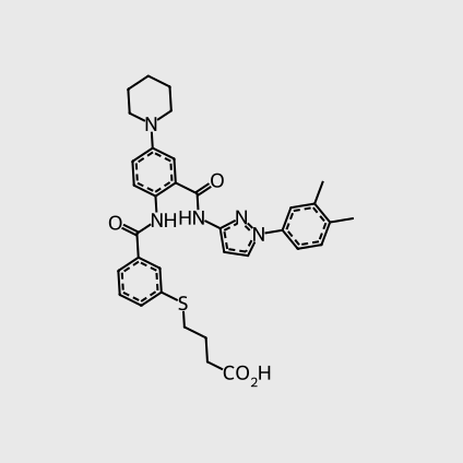 Cc1ccc(-n2ccc(NC(=O)c3cc(N4CCCCC4)ccc3NC(=O)c3cccc(SCCCC(=O)O)c3)n2)cc1C